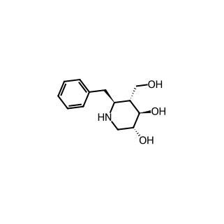 OC[C@@H]1[C@@H](O)[C@H](O)CN[C@H]1Cc1ccccc1